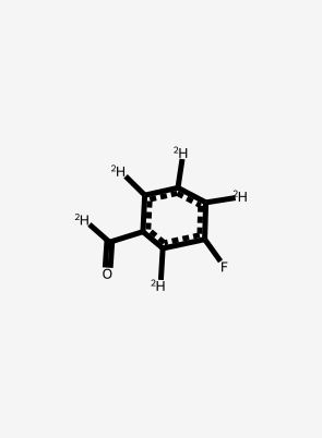 [2H]C(=O)c1c([2H])c([2H])c([2H])c(F)c1[2H]